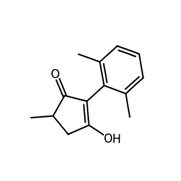 Cc1cccc(C)c1C1=C(O)CC(C)C1=O